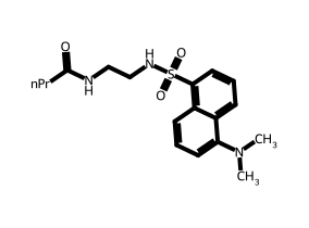 CCCC(=O)NCCNS(=O)(=O)c1cccc2c(N(C)C)cccc12